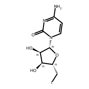 Nc1ccn([C@@H]2O[C@H](CI)[C@@H](O)[C@H]2O)c(=O)n1